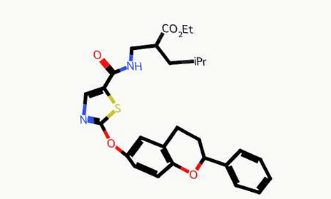 CCOC(=O)C(CNC(=O)c1cnc(Oc2ccc3c(c2)CCC(c2ccccc2)O3)s1)CC(C)C